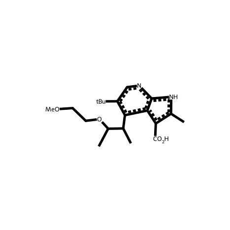 COCCOC(C)C(C)c1c(C(C)(C)C)cnc2[nH]c(C)c(C(=O)O)c12